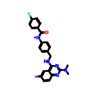 CN(C)c1nc(NCc2ccc(NC(=O)c3ccc(F)cc3)cc2)c2cc(I)ccc2n1